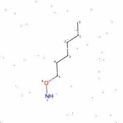 CCCCCCO[NH]